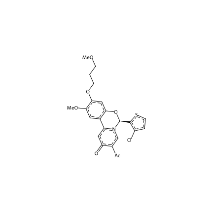 COCCCOc1cc2c(cc1OC)-c1cc(=O)c(C(C)=O)cn1[C@H](c1sccc1Cl)O2